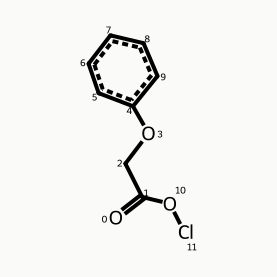 O=C(COc1ccccc1)OCl